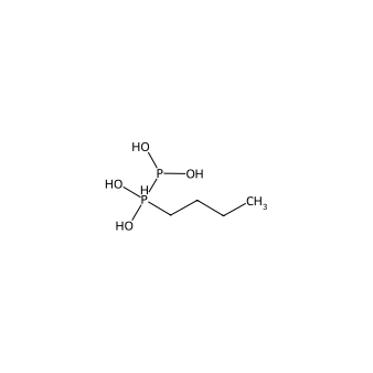 CCCC[PH](O)(O)P(O)O